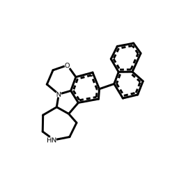 c1ccc2c(-c3cc4c5c(c3)C3CCNCCC3N5CCO4)cccc2c1